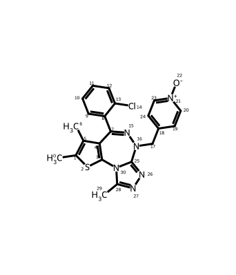 Cc1sc2c(c1C)C(c1ccccc1Cl)=NN(Cc1cc[n+]([O-])cc1)c1nnc(C)n1-2